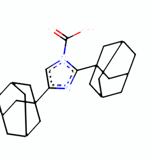 O=C(O)n1cc(C23CC4CC(CC(C4)C2)C3)nc1C12CC3CC(CC(C3)C1)C2